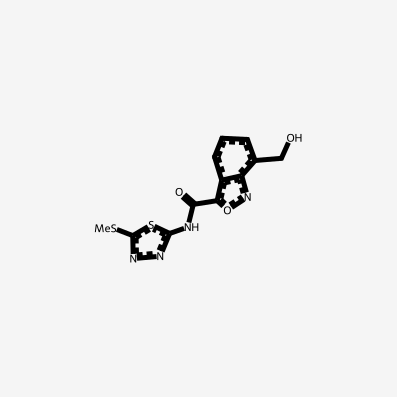 CSc1nnc(NC(=O)c2onc3c(CO)cccc23)s1